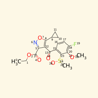 CCOC(=O)c1noc(C2CC2)c1C(=O)c1ccc(F)c(OC)c1[S+](C)[O-]